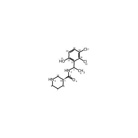 CC(NC(=O)[C@H]1CCCNC1)c1c(O)ccc(Cl)c1Cl